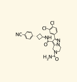 N#Cc1ccc([C@H]2C[C@H](NC(=O)c3c(-c4ccc(Cl)c(Cl)c4)nn4c3CN(C(N)=O)CC4)C2)cc1